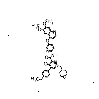 CCc1ccc(-c2cn(CC3CCOCC3)nc(C(=O)Nc3ccc(Oc4ccnc5cc(OC)c(OC)cc45)cn3)c2=O)cc1